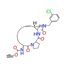 CC(C)(C)OC(=O)N[C@H]1CCCCC/C=C\[C@@H]2C[C@@]2(C(=O)NCc2cccc(Cl)c2)NC(=O)C2CCCN2C1=O